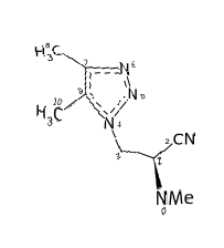 CN[C@H](C#N)Cn1nnc(C)c1C